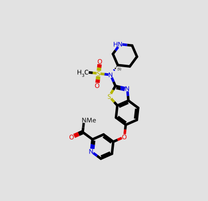 CNC(=O)c1cc(Oc2ccc3nc(N([C@H]4CCCNC4)S(C)(=O)=O)sc3c2)ccn1